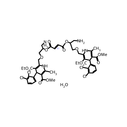 CCOC(=O)C1=C(COCC(CN)OC(=O)/C=C/C(=O)OC(CN)COCC2=C(C(=O)OCC)C(c3cccc(Cl)c3Cl)C(C(=O)OC)=C(C)N2)NC(C)=C(C(=O)OC)C1c1cccc(Cl)c1Cl.O